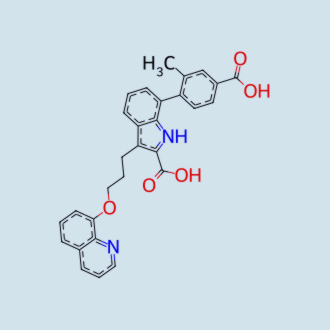 Cc1cc(C(=O)O)ccc1-c1cccc2c(CCCOc3cccc4cccnc34)c(C(=O)O)[nH]c12